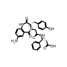 Nc1ccc2c(c1)C(=O)N(CC(=O)N[C@H](CC(=O)O)c1ccccc1)[C@@H](Cc1ccc(O)cc1)C(=O)N2